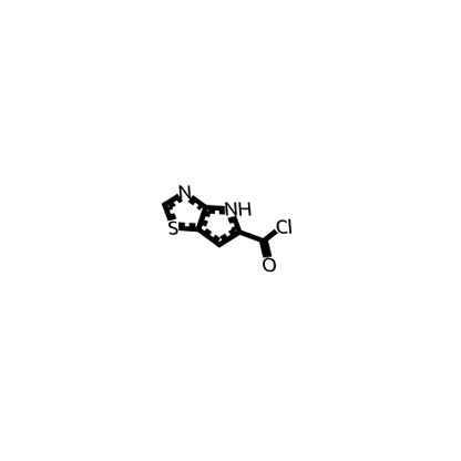 O=C(Cl)c1cc2scnc2[nH]1